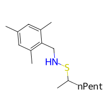 CCCCCC(C)SNCc1c(C)cc(C)cc1C